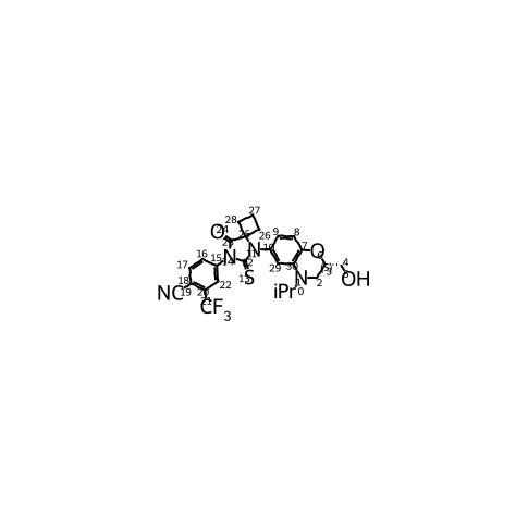 CC(C)N1C[C@@H](CO)Oc2ccc(N3C(=S)N(c4ccc(C#N)c(C(F)(F)F)c4)C(=O)C34CCC4)cc21